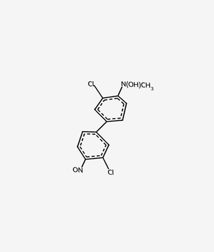 CN(O)c1ccc(-c2ccc(N=O)c(Cl)c2)cc1Cl